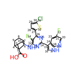 O=C(O)C1C2CCC(CC2)C1Nc1nc(-c2c[nH]c3ncc(F)cc23)nc(-c2ccc(Cl)s2)c1F